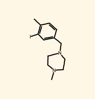 Cc1ccc(CN2CCN(C)CC2)cc1I